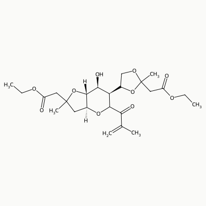 C=C(C)C(=O)C1O[C@H]2CC(C)(CC(=O)OCC)O[C@@H]2[C@@H](O)[C@H]1C1COC(C)(CC(=O)OCC)O1